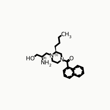 CCCC[C@H]1CN(C(=O)c2cccc3ccccc23)CCN1C[C@@H](N)CO